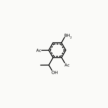 Bc1cc(C(C)=O)c(C(C)O)c(C(C)=O)c1